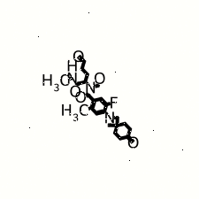 CNC(=O)C(CCC=O)N(C=O)C(=O)c1cc(F)c(N2CC3(CCC(=O)CC3)C2)cc1C